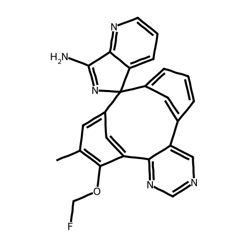 Cc1cc2cc(c1OCF)-c1ncncc1-c1cccc(c1)C21N=C(N)c2ncccc21